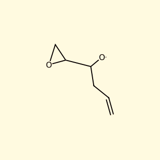 C=CCC([O])C1CO1